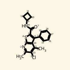 Cc1nc2sc(C(=O)NC3CCC3)c(-c3ccccc3)c2c(C)c1Cl